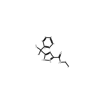 CCOC(=O)c1cc(C(C)(F)c2ccccc2)on1